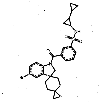 O=C(c1cccc(S(=O)(=O)NC2CC2C2CC2)c1)N1CC2(CCC3(CC3)CC2)c2cc(Br)ccc21